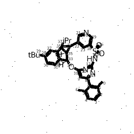 Cc1cccc(C)c1-c1cc2nc(n1)NS(=O)(=O)c1cncc(c1)C1Cc3cc(C(C)(C)C)ccc3[C@H](O2)[C@H]1CC(C)C